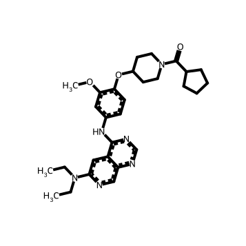 CCN(CC)c1cc2c(Nc3ccc(OC4CCN(C(=O)C5CCCC5)CC4)c(OC)c3)ncnc2cn1